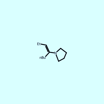 CC/C=C(\CCCC)N1CCCC1